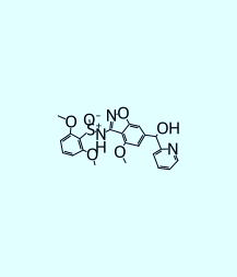 COc1cccc(OC)c1[S+]([O-])Nc1noc2cc(C(O)c3ccccn3)cc(OC)c12